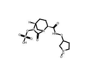 O=C(NOC1CC[NH+]([O-])C1)[C@@H]1CC[C@@H]2CN1C(=O)N2OS(=O)(=O)O